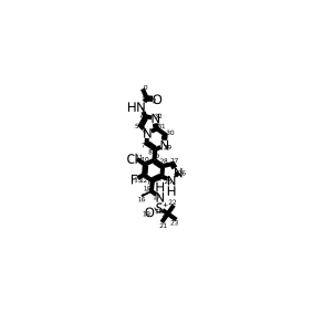 CC(=O)Nc1cn2cc(-c3c(Cl)c(F)c([C@H](C)N[S+]([O-])C(C)(C)C)c4[nH]ncc34)ncc2n1